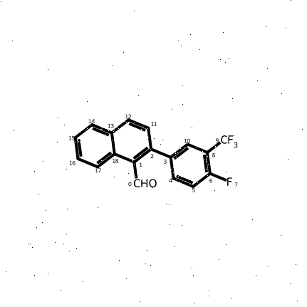 O=Cc1c(-c2ccc(F)c(C(F)(F)F)c2)ccc2ccccc12